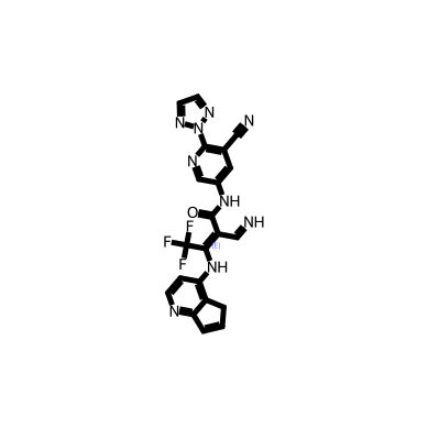 N#Cc1cc(NC(=O)/C(C=N)=C(/Nc2ccnc3c2CC=C3)C(F)(F)F)cnc1-n1nccn1